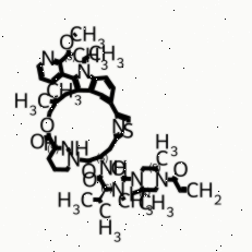 C=CC(=O)N1C[C@@](C)(I)N(C(=O)N(C)[C@H](C(=O)N[C@H]2Cc3nc(cs3)-c3ccc4c(c3)c(c(-c3cccnc3[C@H](C)OC)n4CC)CC(C)(C)COC(=O)[C@@H]3CCCN(N3)C2=O)C(C)C)C[C@@H]1C